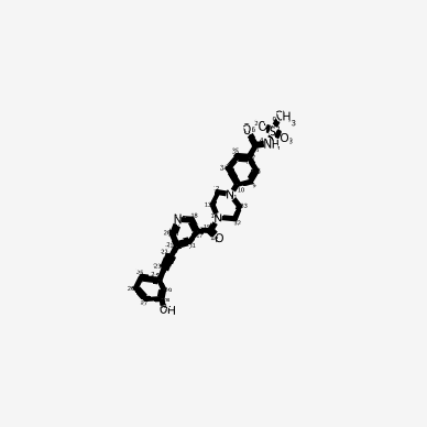 CS(=O)(=O)NC(=O)c1ccc(N2CCN(C(=O)c3cncc(C#Cc4cccc(O)c4)c3)CC2)cc1